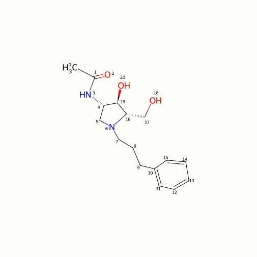 CC(=O)N[C@H]1CN(CCCc2ccccc2)[C@@H](CO)[C@@H]1O